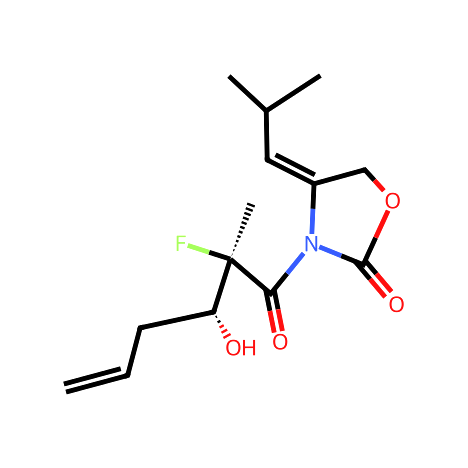 C=CC[C@@H](O)[C@@](C)(F)C(=O)N1C(=O)OCC1=CC(C)C